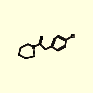 S=C(Cc1ccc(Cl)cc1)N1CCCCC1